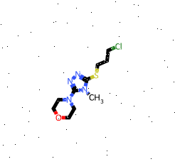 Cn1c(SCCCCl)nnc1N1CCOCC1